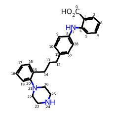 O=C(O)c1ccccc1Nc1ccc(CCCc2ccccc2N2CCNCC2)cc1